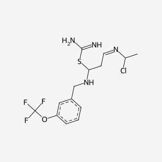 CC(Cl)/N=C\CC(NCc1cccc(OC(F)(F)F)c1)SC(=N)N